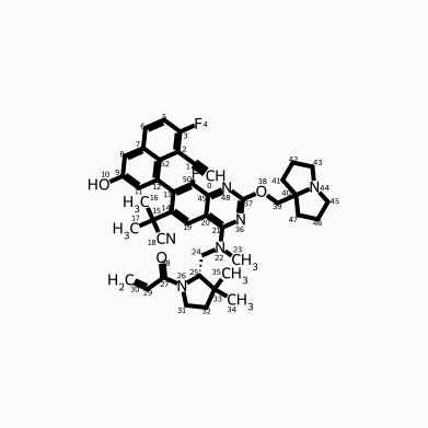 C#Cc1c(F)ccc2cc(O)cc(-c3c(C(C)(C)C#N)cc4c(N(C)C[C@H]5N(C(=O)C=C)CCC5(C)C)nc(OCC56CCCN5CCC6)nc4c3F)c12